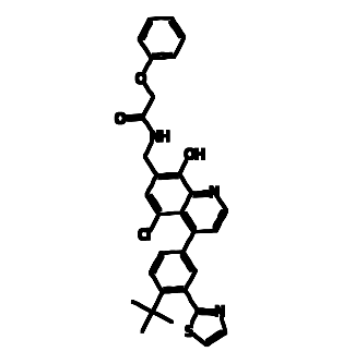 CC(C)(C)c1ccc(-c2ccnc3c(O)c(CNC(=O)COc4ccccc4)cc(Cl)c23)cc1-c1nccs1